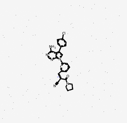 N#C/C(=C/c1cccc(-n2cc(-c3ccc(Cl)cc3)c3c(N)ncnc32)c1)C(=O)N1CCCC1